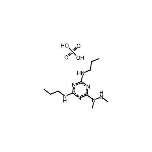 CCCNc1nc(NCCC)nc(N(C)NC)n1.O=S(=O)(O)O